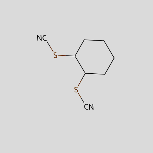 N#CSC1CCCCC1SC#N